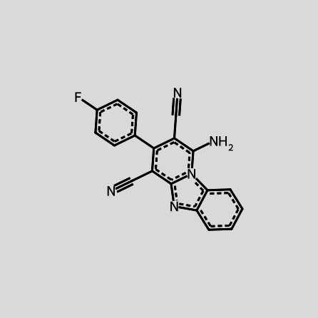 N#Cc1c(-c2ccc(F)cc2)c(C#N)c2nc3ccccc3n2c1N